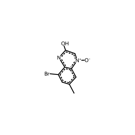 Cc1cc(Br)c2nc(O)c[n+]([O-])c2c1